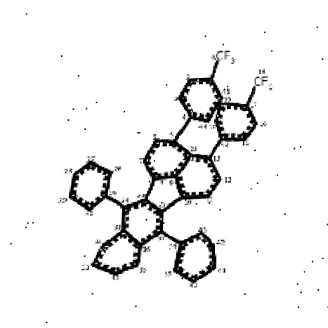 FC(F)(F)c1ccc(-c2ccc3c4c(ccc(-c5ccc(C(F)(F)F)cc5)c24)-c2c-3c(-c3ccccc3)c3ccccc3c2-c2ccccc2)cc1